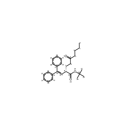 CCCCC(=O)CC[C@@H](N=C(c1ccccc1)c1ccccc1)C(=O)OC(C)(C)C